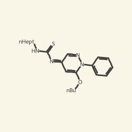 CCCCCCCNC(=S)/N=c1\cnn(-c2ccccc2)c(OCCCC)c1